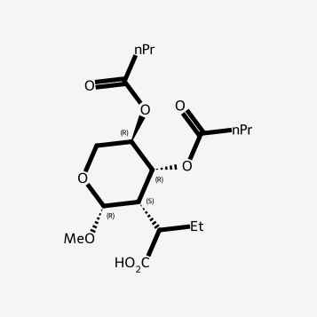 CCCC(=O)O[C@@H]1[C@H](C(CC)C(=O)O)[C@H](OC)OC[C@H]1OC(=O)CCC